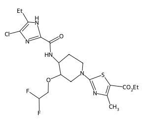 CCOC(=O)c1sc(N2CCC(NC(=O)c3nc(Cl)c(CC)[nH]3)C(OCC(F)F)C2)nc1C